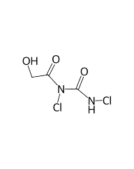 O=C(CO)N(Cl)C(=O)NCl